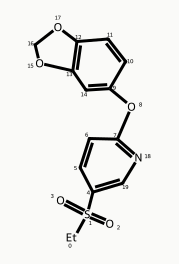 CCS(=O)(=O)c1ccc(Oc2ccc3c(c2)OCO3)nc1